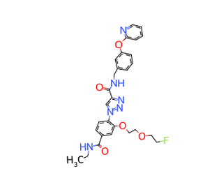 CCNC(=O)c1ccc(-n2cc(C(=O)NCc3cccc(Oc4ccccn4)c3)nn2)c(OCCOCCF)c1